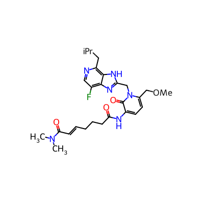 COCc1ccc(NC(=O)CCC/C=C/C(=O)N(C)C)c(=O)n1Cc1nc2c(F)cnc(CC(C)C)c2[nH]1